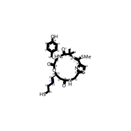 CS/C1=N\C(C)(C)C(=O)N[C@@H](Cc2ccc(O)cc2)C(=O)O[C@H](/C=C/CCS)CC(=O)NCc2nc1cs2